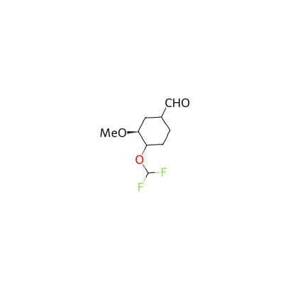 CO[C@H]1CC(C=O)CCC1OC(F)F